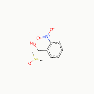 C[S+](C)[O-].O=[N+]([O-])c1ccccc1CO